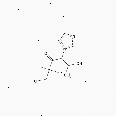 CC(C)(CCl)C(=O)C(C(O)C(Cl)(Cl)Cl)n1cncn1